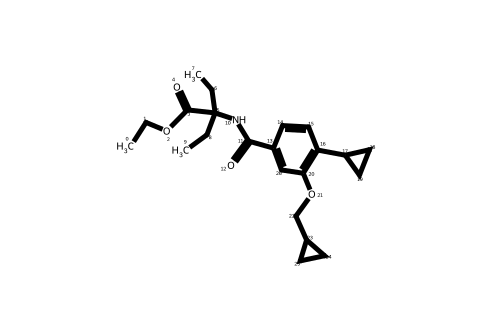 CCOC(=O)C(CC)(CC)NC(=O)c1ccc(C2CC2)c(OCC2CC2)c1